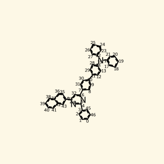 c1ccc(-c2nc(-c3ccc(-c4ccc(N(c5ccccc5)c5ccccc5)cc4)cc3)cc(-c3ccc4ccccc4c3)n2)cc1